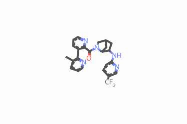 Cc1cccnc1-c1cccnc1C(=O)N1CC2CC(Nc3ccc(C(F)(F)F)cn3)C1C2